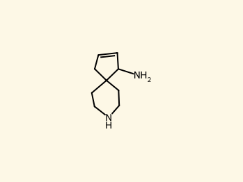 NC1C=CCC12CCNCC2